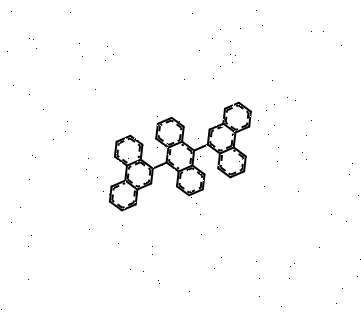 c1ccc2c(c1)cc(-c1c3ccccc3c(-c3cc4ccccc4c4ccccc34)c3ccccc13)c1ccccc12